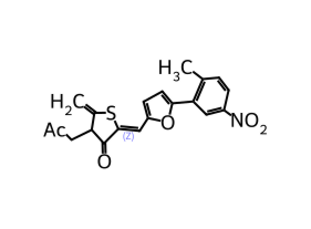 C=C1S/C(=C\c2ccc(-c3cc([N+](=O)[O-])ccc3C)o2)C(=O)C1CC(C)=O